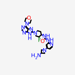 NC1CN(c2ccnc(NC(=O)NC3CCN(c4nc5c(N6CCOCC6)ncnc5[nH]4)CC3F)c2)C1